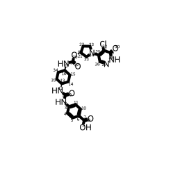 O=C(Nc1ccc(C(=O)O)cc1)N[C@H]1CC[C@H](NC(=O)O[C@@H]2CCN(c3cn[nH]c(=O)c3Cl)C2)CC1